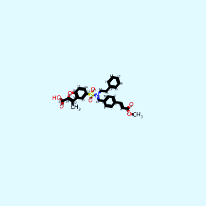 COC(=O)C=Cc1ccc(CN(CCc2ccccc2)S(=O)(=O)c2ccc3oc(C(=O)O)c(C)c3c2)cc1